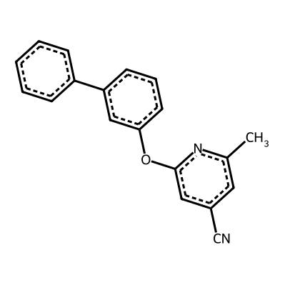 Cc1cc(C#N)cc(Oc2cccc(-c3ccccc3)c2)n1